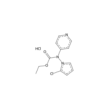 CCOC(=O)N(c1ccncc1)n1cccc1Cl.Cl